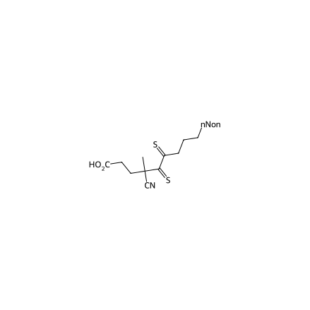 CCCCCCCCCCCCC(=S)C(=S)C(C)(C#N)CCC(=O)O